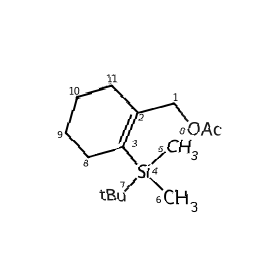 CC(=O)OCC1=C([Si](C)(C)C(C)(C)C)CCCC1